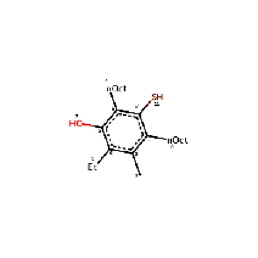 CCCCCCCCc1c(C)c(CC)c(O)c(CCCCCCCC)c1S